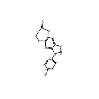 O=C1CCCc2nc3c(cnn3-c3ccc(F)cc3)cc2C1